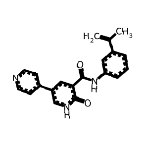 C=C(C)c1cccc(NC(=O)c2cc(-c3ccncc3)c[nH]c2=O)c1